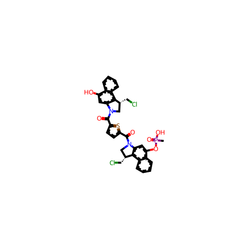 CP(=O)(O)Oc1cc2c(c3ccccc13)[C@H](CCl)CN2C(=O)c1ccc(C(=O)N2C[C@@H](CCl)c3c2cc(O)c2ccccc32)s1